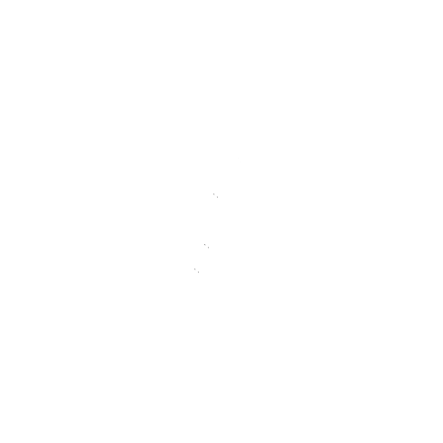 Cc1nc(Cc2cc[nH]n2)cs1